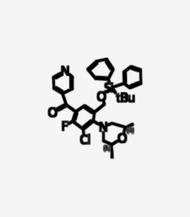 C[C@@H]1CN(c2c(CO[Si](c3ccccc3)(c3ccccc3)C(C)(C)C)cc(C(=O)c3ccncc3)c(F)c2Cl)C[C@H](C)O1